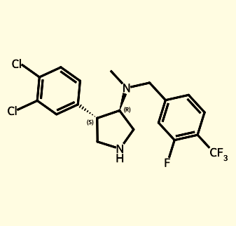 CN(Cc1ccc(C(F)(F)F)c(F)c1)[C@H]1CNC[C@@H]1c1ccc(Cl)c(Cl)c1